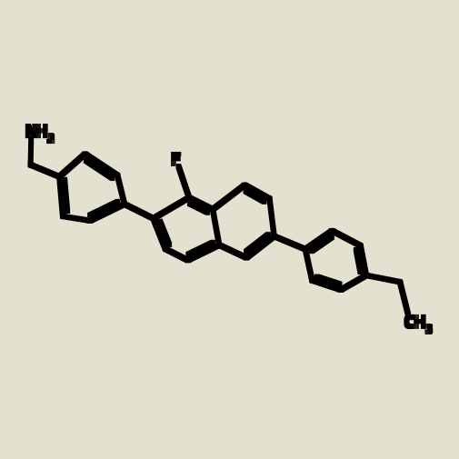 CCc1ccc(-c2ccc3c(F)c(-c4ccc(CN)cc4)ccc3c2)cc1